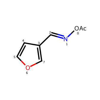 CC(=O)ON=Cc1ccoc1